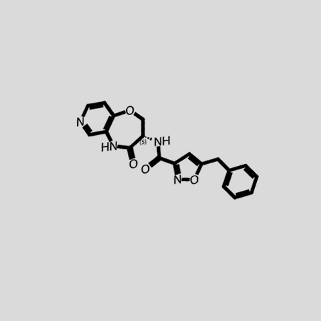 O=C(N[C@H]1COc2ccncc2NC1=O)c1cc(Cc2ccccc2)on1